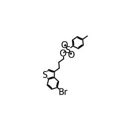 Cc1ccc(S(=O)(=O)OCCCc2csc3ccc(Br)cc23)cc1